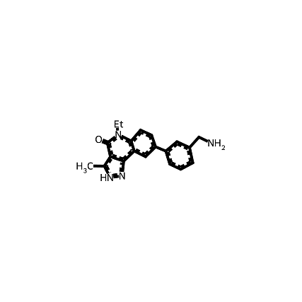 CCn1c(=O)c2c(C)[nH]nc2c2cc(-c3cccc(CN)c3)ccc21